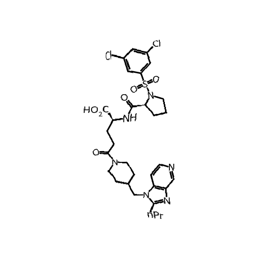 CCCc1nc2cnccc2n1CC1CCN(C(=O)CC[C@H](NC(=O)[C@@H]2CCCN2S(=O)(=O)c2cc(Cl)cc(Cl)c2)C(=O)O)CC1